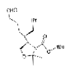 CC(C)C[C@H](CCCC=O)[C@@H]1COC(C)(C)N1C(=O)OC(C)(C)C